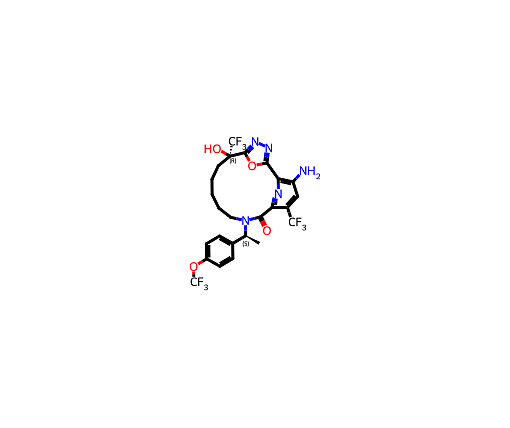 C[C@@H](c1ccc(OC(F)(F)F)cc1)N1CCCCC[C@](O)(C(F)(F)F)c2nnc(o2)-c2nc(c(C(F)(F)F)cc2N)C1=O